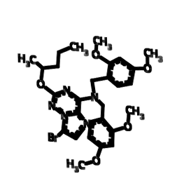 CCCC(C)Oc1nc(N(Cc2ccc(OC)cc2OC)Cc2ccc(OC)cc2OC)c2ncc(Br)n2n1